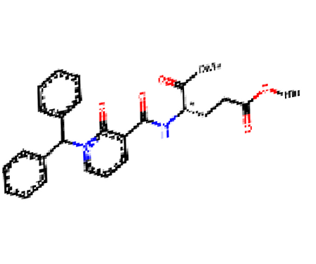 COC(=O)[C@H](CCC(=O)OC(C)(C)C)NC(=O)c1cccn(C(c2ccccc2)c2ccccc2)c1=O